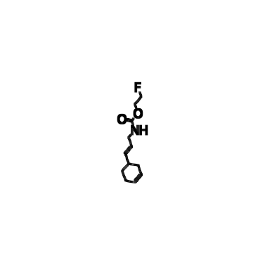 O=C(NC/C=C/C1CC=CCC1)OCCF